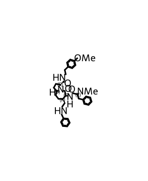 CN[C@H](Cc1ccccc1)C(=O)N[C@@H]1C(=O)N2[C@@H](CC[C@@H]1CCNCc1ccccc1)CC[C@H]2C(=O)NCCc1ccc(OC)cc1